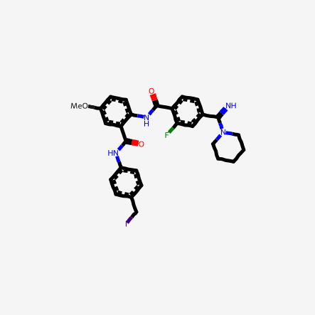 COc1ccc(NC(=O)c2ccc(C(=N)N3CCCCC3)cc2F)c(C(=O)Nc2ccc(CI)cc2)c1